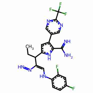 CCC(/C(=C/Nc1ccc(F)cc1F)N=N)c1cc(-c2cnc(C(F)(F)F)nc2)c(C(=N)N)[nH]1